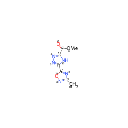 COC(=O)c1nnc(-c2nc(C)no2)[nH]1